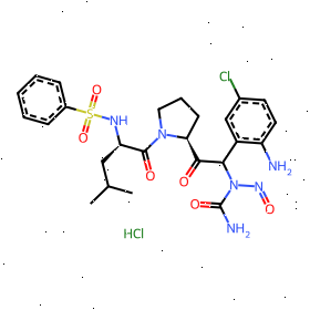 CC(C)C[C@@H](NS(=O)(=O)c1ccccc1)C(=O)N1CCC[C@H]1C(=O)C(c1cc(Cl)ccc1N)N(N=O)C(N)=O.Cl